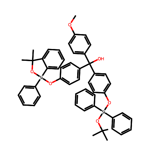 COc1ccc(C(O)(c2ccc(O[Si](OC(C)(C)C)(c3ccccc3)c3ccccc3)cc2)c2ccc(O[Si](OC(C)(C)C)(c3ccccc3)c3ccccc3)cc2)cc1